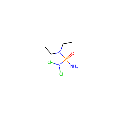 CCN(CC)P(N)(=O)N(Cl)Cl